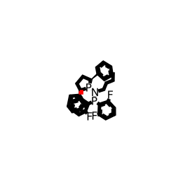 CCCCN(P(c1c(F)cccc1F)c1c(F)cccc1F)P1[C@H](c2ccccc2)CC[C@H]1c1ccccc1